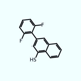 Fc1cccc(F)c1-c1[c]c(S)c2ccccc2c1